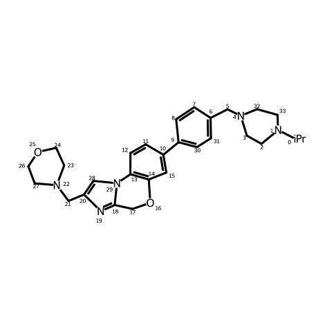 CC(C)N1CCN(Cc2ccc(-c3ccc4c(c3)OCc3nc(CN5CCOCC5)cn3-4)cc2)CC1